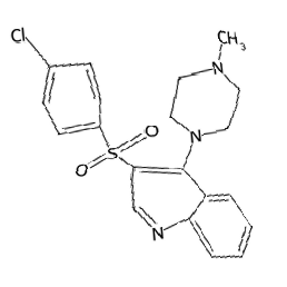 CN1CCN(c2c(S(=O)(=O)c3ccc(Cl)cc3)cnc3ccccc23)CC1